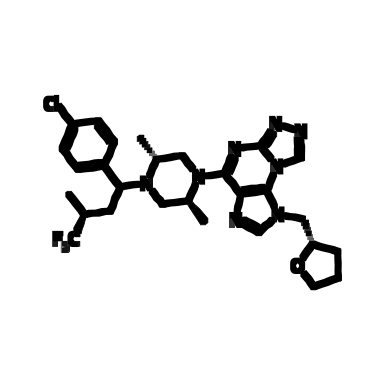 C[C@@H]1CN(c2nc3nncn3c3c2ncn3C[C@@H]2CCCO2)[C@@H](C)CN1C(C[C@H](C)C(F)(F)F)c1ccc(Cl)cc1